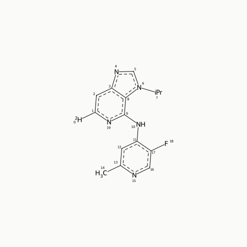 [2H]c1cc2ncn(C(C)C)c2c(Nc2cc(C)ncc2F)n1